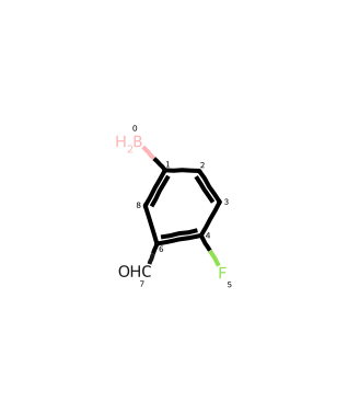 Bc1ccc(F)c(C=O)c1